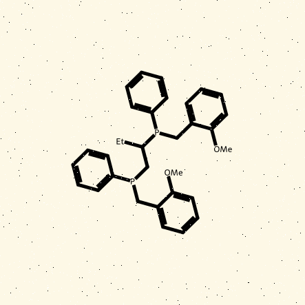 CCC(CP(Cc1ccccc1OC)c1ccccc1)P(Cc1ccccc1OC)c1ccccc1